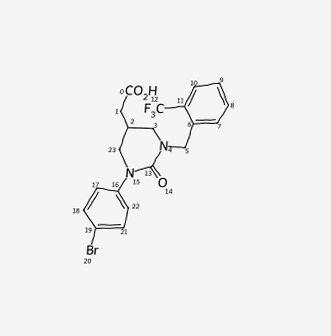 O=C(O)CC1CN(Cc2ccccc2C(F)(F)F)C(=O)N(c2ccc(Br)cc2)C1